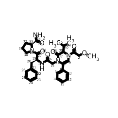 COCC(=O)N1C=C(c2ccccc2)N(CC(=O)N[C@@H](Cc2ccccc2)C(=O)N2CCC[C@H]2C(N)=O)C(=O)C1C(C)C